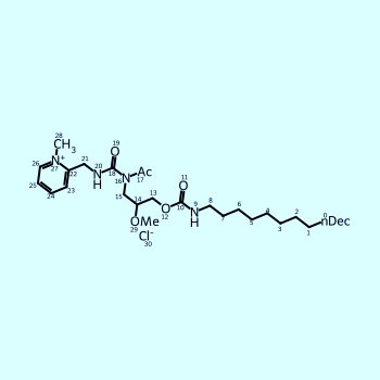 CCCCCCCCCCCCCCCCCCNC(=O)OCC(CN(C(C)=O)C(=O)NCc1cccc[n+]1C)OC.[Cl-]